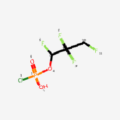 O=P(O)(Cl)OC(F)C(F)(F)CF